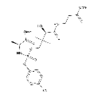 COC(=O)CCNC(=O)[C@H](O)C(C)(C)COP(=O)(N[C@@H](C)C(=O)OC)Oc1ccc(C#N)cc1